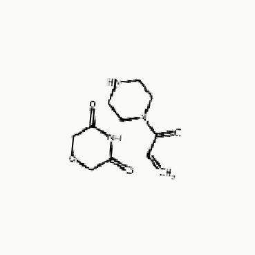 C=CC(=O)N1CCNCC1.O=C1COCC(=O)N1